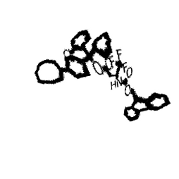 O=C(C[C@H](NC(=O)OCC1c2ccccc2-c2ccccc21)C(F)(F)F)OC(c1ccccc1)(c1ccc(C2CCCCCCCC2)cc1)c1ccccc1Cl